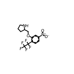 O=[N+]([O-])c1ccc(C(F)(F)C(F)(F)F)c(OCC2CCCN2)c1